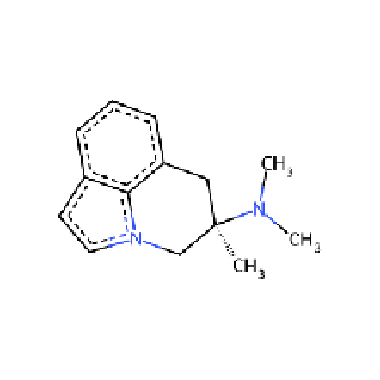 CN(C)[C@]1(C)Cc2cccc3ccn(c23)C1